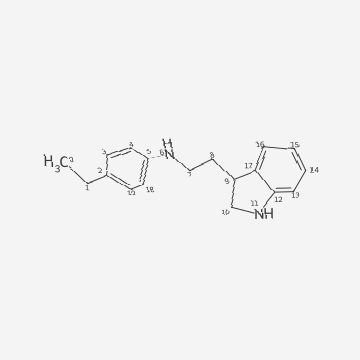 CCc1ccc(NCCC2CNc3ccccc32)cc1